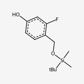 CC(C)(C)[Si](C)(C)OCc1ccc(O)cc1F